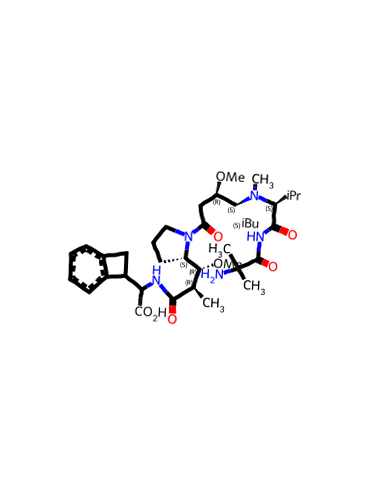 CC[C@H](C)[C@@H]([C@@H](CC(=O)N1CCC[C@H]1[C@H](OC)[C@@H](C)C(=O)NC(C(=O)O)C1Cc2ccccc21)OC)N(C)[C@H](C(=O)NC(=O)C(C)(C)N)C(C)C